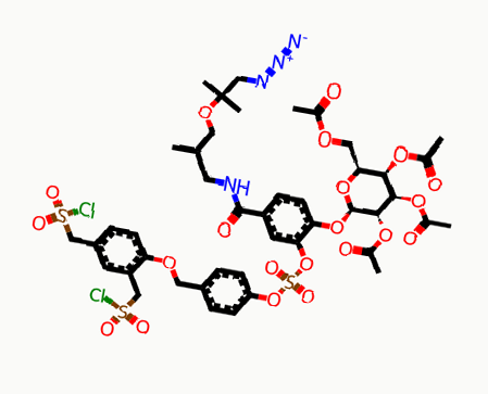 CC(=O)OC[C@@H]1O[C@H](Oc2ccc(C(=O)NCC(C)COC(C)(C)CN=[N+]=[N-])cc2OS(=O)(=O)Oc2ccc(COc3ccc(CS(=O)(=O)Cl)cc3CS(=O)(=O)Cl)cc2)[C@@H](OC(C)=O)[C@H](OC(C)=O)[C@@H]1OC(C)=O